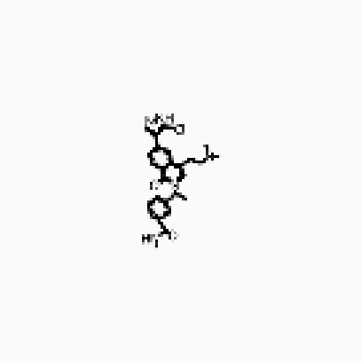 CNC(=O)c1cccc(C(C)n2cc(CCN(C)C)c3cc(-c4cn[nH]c4Cl)ccc3c2=O)c1